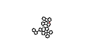 c1ccc(C2(c3ccccc3)c3ccccc3-c3c(N(c4ccc(-c5cccc6ccccc56)cc4)c4cccc5c4-c4ccccc4C54c5ccccc5-c5ccccc54)cccc32)cc1